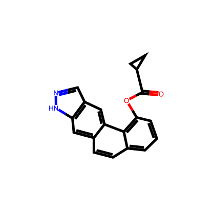 O=C(Oc1cccc2ccc3cc4[nH]ncc4cc3c12)C1CC1